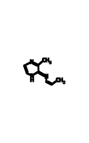 C/C=C\N=c1/[nH]ccnc1C